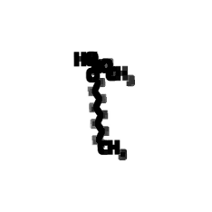 CCCCCCCCCOB(O)OC